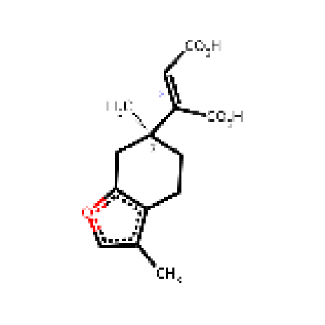 Cc1coc2c1CC[C@](C)(/C(=C/C(=O)O)C(=O)O)C2